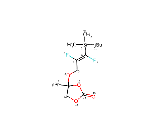 CCCC1(OC/C(F)=C(\F)[Si](C)(C)C(C)(C)C)COC(=O)O1